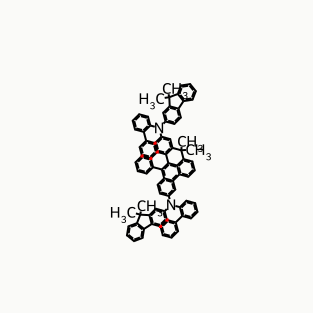 CC1(C)c2ccccc2-c2ccc(N(c3ccc4c(c3)C(C)(C)c3cccc5c3c-4c(-c3ccccc3)c3ccc(N(c4ccc6c(c4)C(C)(C)c4ccccc4-6)c4ccccc4-c4ccccc4)cc35)c3ccccc3-c3ccccc3)cc21